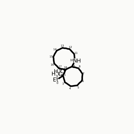 CCC1(C)CCCCCCC2NCCCCCCCC21C